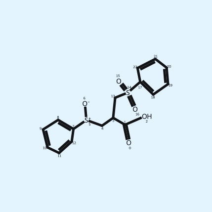 O=C(O)C(C[S+]([O-])c1ccccc1)CS(=O)(=O)c1ccccc1